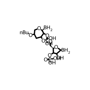 B[C@@H]1O[C@H](COP2(O)(O)OC3CC(OCCCC)CO[C@@H](B)C3O2)C(OP(=O)(O)O)C1O